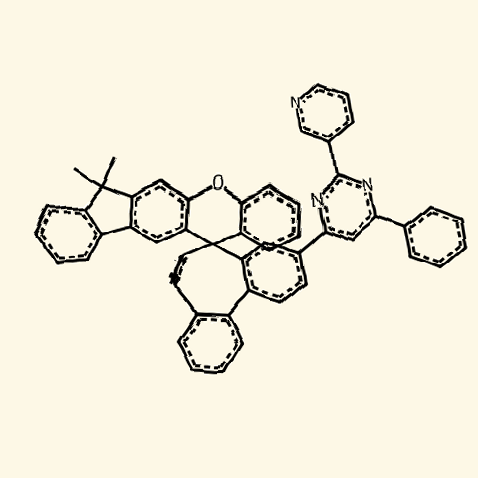 CC1(C)c2ccccc2-c2cc3c(cc21)Oc1ccccc1C31c2ccccc2-c2ccccc2-c2ccc(-c3cc(-c4ccccc4)nc(-c4cccnc4)n3)cc21